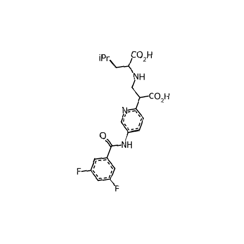 CC(C)CC(NCC(C(=O)O)c1ccc(NC(=O)c2cc(F)cc(F)c2)cn1)C(=O)O